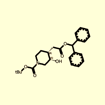 CC(C)(C)OC(=O)N1CC[C@H](CC(=O)OC(c2ccccc2)c2ccccc2)[C@H](O)C1